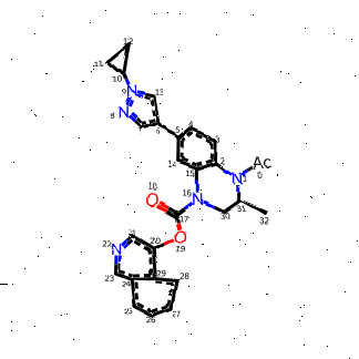 CC(=O)N1c2ccc(-c3cnn(C4CC4)c3)cc2N(C(=O)Oc2cncc3ccccc23)C[C@@H]1C